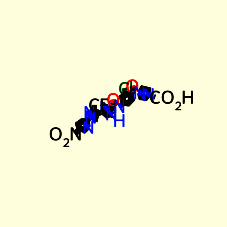 Cn1c(-c2cn(-c3ccc([N+](=O)[O-])cn3)nc2C(F)(F)F)cnc1C(=O)Nc1ccc(C(=O)N2CCN(C(=O)O)CC2)c(Cl)c1